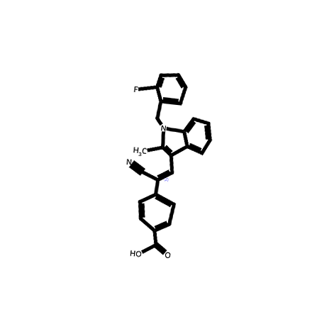 Cc1c(/C=C(\C#N)c2ccc(C(=O)O)cc2)c2ccccc2n1Cc1ccccc1F